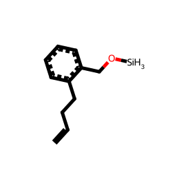 C=CCCc1ccccc1CO[SiH3]